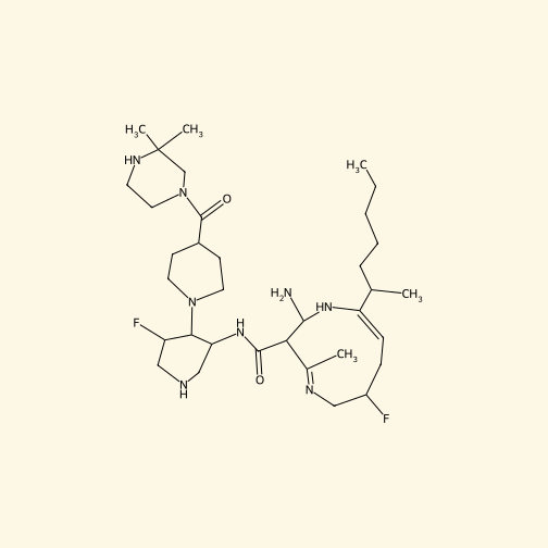 CCCCCC(C)/C1=C/CC(F)C/N=C(\C)C(C(=O)NC2CNCC(F)C2N2CCC(C(=O)N3CCNC(C)(C)C3)CC2)C(N)N1